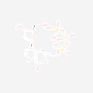 Nc1nc2c(ncn2[C@H]2C[C@H](O)[C@@H](CO)O2)c(=O)[nH]1.O=P(O)(O)OP(=O)(O)OP(=O)(O)O